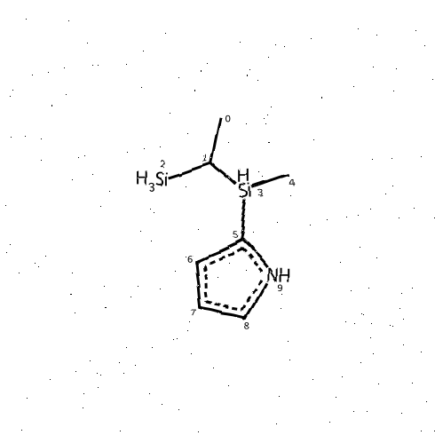 CC([SiH3])[SiH](C)c1ccc[nH]1